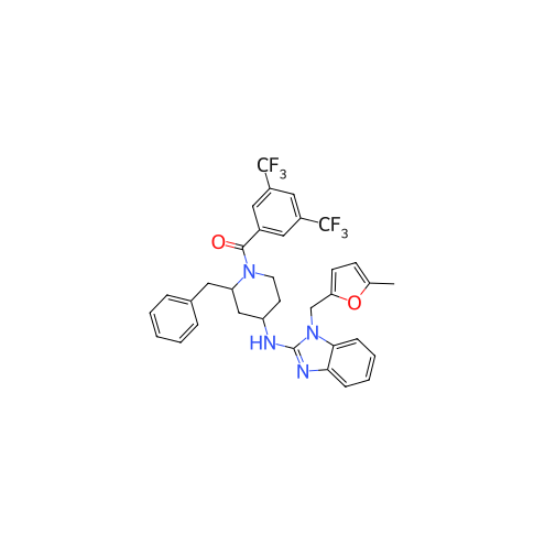 Cc1ccc(Cn2c(NC3CCN(C(=O)c4cc(C(F)(F)F)cc(C(F)(F)F)c4)C(Cc4ccccc4)C3)nc3ccccc32)o1